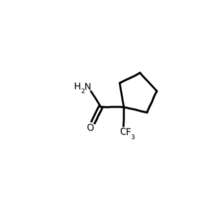 NC(=O)C1(C(F)(F)F)CCCC1